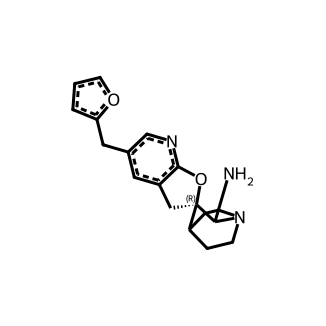 NC1N2CCC(CC2)[C@]12Cc1cc(Cc3ccco3)cnc1O2